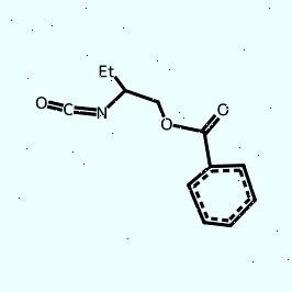 CCC(COC(=O)c1ccccc1)N=C=O